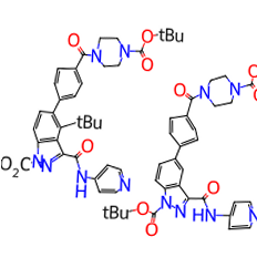 CC(C)(C)OC(=O)N1CCN(C(=O)c2ccc(-c3ccc4c(c(C(=O)Nc5ccncc5)nn4C(=O)O)c3C(C)(C)C)cc2)CC1.CC(C)(C)OC(=O)N1CCN(C(=O)c2ccc(-c3ccc4c(c3)c(C(=O)Nc3ccncc3)nn4C(=O)OC(C)(C)C)cc2)CC1